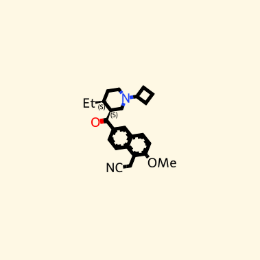 CC[C@H]1CCN(C2CCC2)C[C@H]1C(=O)c1ccc2c(CC#N)c(OC)ccc2c1